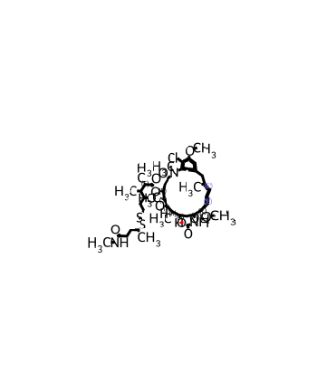 CNC(=O)CCC(C)SSCCC(=O)C(C)[C@H](C)C(=O)O[C@H]1CC(=O)N(C)c2cc(cc(OC)c2Cl)C/C(C)=C/C=C/[C@@H](OC)[C@@]2(O)C[C@H](OC(=O)N2)[C@@H](C)[C@@H]2O[C@@]12C